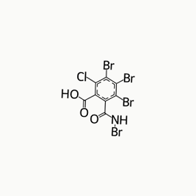 O=C(O)c1c(Cl)c(Br)c(Br)c(Br)c1C(=O)NBr